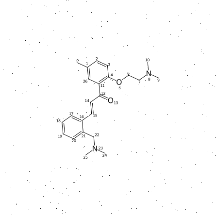 Cc1ccc(OCCN(C)C)c(C(=O)C=Cc2ccccc2CN(C)C)c1